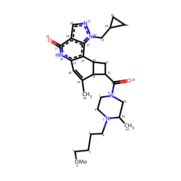 COCCCCN1CCN(C(=O)C2CC3c4c([nH]c(=O)c5cnn(CC6CC6)c45)C=C(C)C23)CC1C